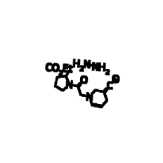 CCOC(=O)C1CCCN1C(=O)CN1C=CCC(=C=O)C1.NN